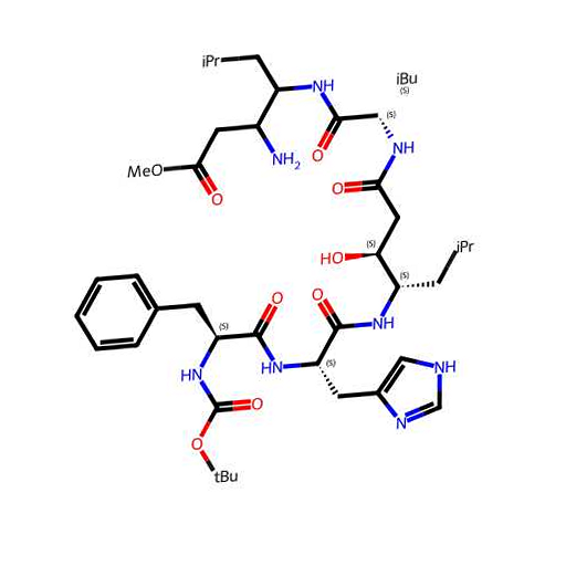 CC[C@H](C)[C@H](NC(=O)C[C@H](O)[C@H](CC(C)C)NC(=O)[C@H](Cc1c[nH]cn1)NC(=O)[C@H](Cc1ccccc1)NC(=O)OC(C)(C)C)C(=O)NC(CC(C)C)C(N)CC(=O)OC